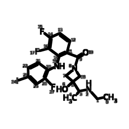 CCNC(C)C1(O)CN(C(=O)c2ccc(F)c(F)c2Nc2ccc(I)cc2F)C1